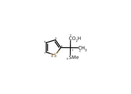 CSC(C)(C(=O)O)c1cccs1